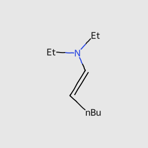 CCCC/C=C/N(CC)CC